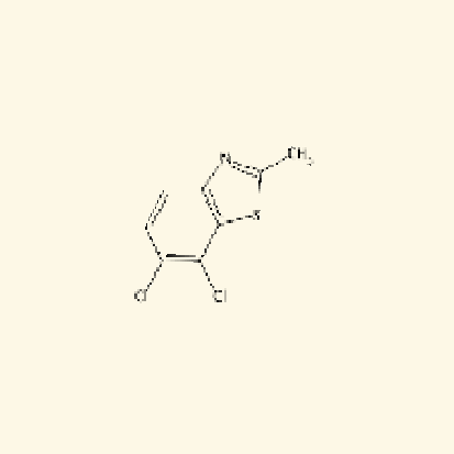 Cc1nc2ccc(Cl)c(Cl)c2s1